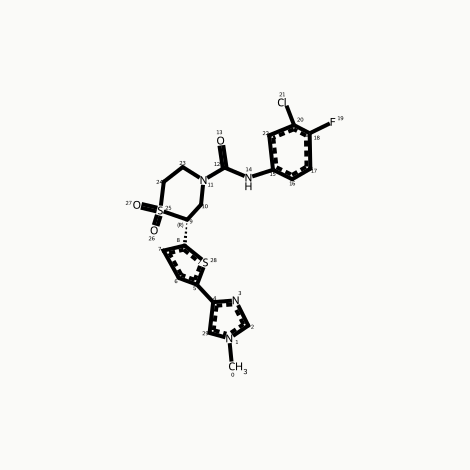 Cn1cnc(-c2ccc([C@H]3CN(C(=O)Nc4ccc(F)c(Cl)c4)CCS3(=O)=O)s2)c1